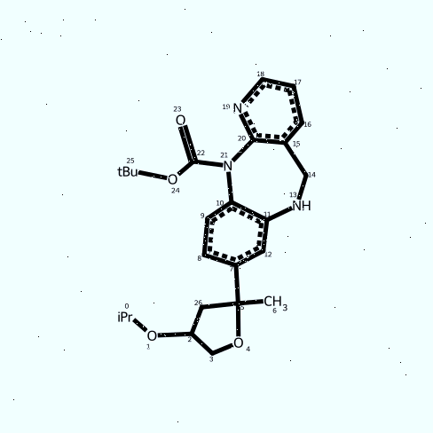 CC(C)OC1COC(C)(c2ccc3c(c2)NCc2cccnc2N3C(=O)OC(C)(C)C)C1